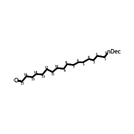 CCCCCCCCCCCCCCCCCCCCCCCCCCC[O]